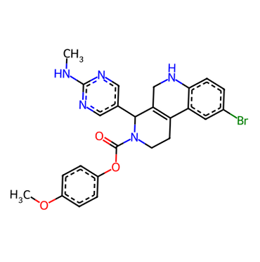 CNc1ncc(C2C3=C(CCN2C(=O)Oc2ccc(OC)cc2)c2cc(Br)ccc2NC3)cn1